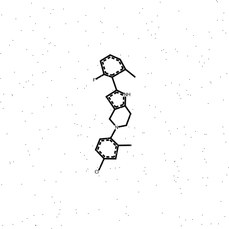 Cc1cc(Cl)ccc1N1CCc2[nH]c(-c3c(C)cccc3F)cc2C1